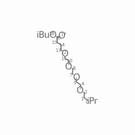 CC(C)CCOCCOCCOCCOCCCC(=O)OCC(C)C